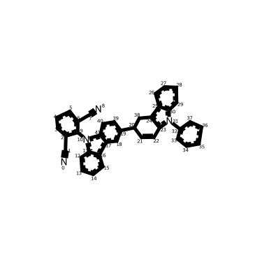 N#Cc1cccc(C#N)c1-n1c2ccccc2c2cc(C3C=Cc4c(c5ccccc5n4-c4ccccc4)C3)ccc21